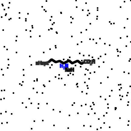 CCCCCCCCCCCCCCCC(=O)O.N.[NaH]